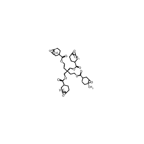 CC12CCC(C(=O)OCCC(CCOC(=O)C3CCC4(C)OC4C3)(COC(=O)C3CCC4(C)OC4C3)COC(=O)C3CCC4(C)OC4C3)CC1O2